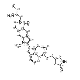 Cn1c(-c2cc3cccc(OCCC4CNC(=O)C4)c3n2CC2CC2)nc2cc3c(cc21)CCN(CC(N)CF)C3=O